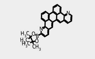 CC1(C)OB(c2ccc3cc4c5cc6cccnc6c6cccc(c7cccc(c3n2)c74)c56)OC1(C)C